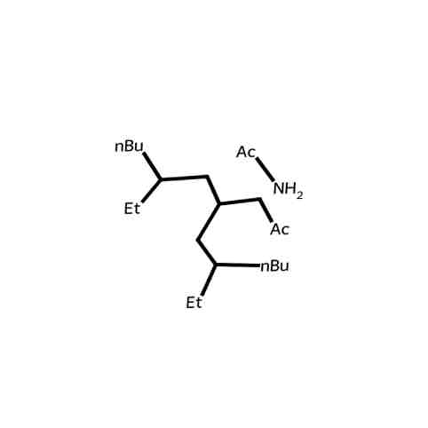 CC(N)=O.CCCCC(CC)CC(CC(C)=O)CC(CC)CCCC